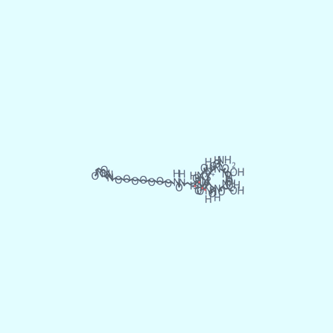 CC[C@H](C)[C@@H]1NC(=O)CNC(=O)[C@@H]2Cc3c([nH]c4c(CSCCCCNC(=O)NCCOCCOCCOCCOCCOCCOCCOCCn5cc(CN6C(=O)C=CC6=O)nn5)c(OC)ccc34)[S+]([O-])C[C@H](NC(=O)CNC1=O)C(=O)N[C@@H](CC(N)=O)C(=O)N1C[C@H](O)C[C@H]1C(=O)N[C@@H]([C@@H](C)[C@@H](O)CO)C(=O)N2